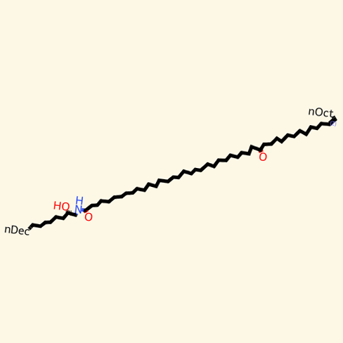 CCCCCCCC/C=C\CCCCCCCCCCCC(=O)CCCCCCCCCCCCCCCCCCCCCCCCCCCCCC(=O)NC[C@H](O)CCCCCCCCCCCCCCCC